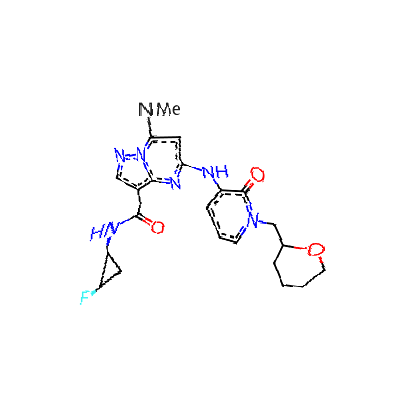 CNc1cc(Nc2cccn(CC3CCCCO3)c2=O)nc2c(C(=O)N[C@H]3C[C@H]3F)cnn12